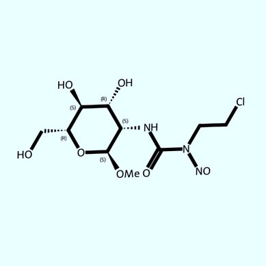 CO[C@H]1O[C@H](CO)[C@@H](O)[C@H](O)[C@@H]1NC(=O)N(CCCl)N=O